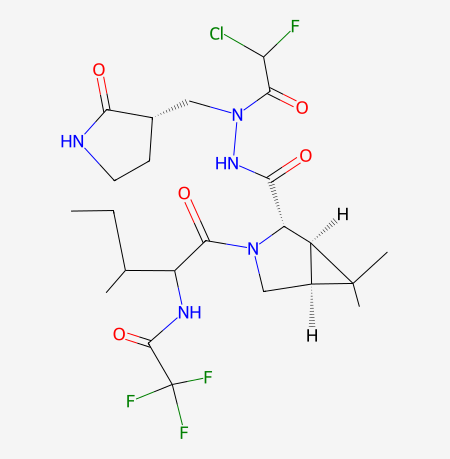 CCC(C)C(NC(=O)C(F)(F)F)C(=O)N1C[C@H]2[C@@H]([C@H]1C(=O)NN(C[C@@H]1CCNC1=O)C(=O)C(F)Cl)C2(C)C